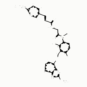 COc1nc2c(OCc3c(Cl)ccc(N(C)C(=O)CNC(=O)C=Cc4ccc(NC(C)=O)nc4)c3Cl)cccc2[nH]1